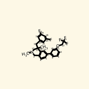 CN1Cc2ccc(-c3cccc(OCC(F)(F)F)c3)cc2C(C)(Cc2cc(F)cc(F)c2)C1